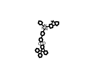 CC1(C)c2ccccc2-c2ccc(-c3nc(-c4ccccc4)nc(-c4ccc(-c5ccc6c(c5)Oc5cc7c(cc5O6)C(c5ccccc5)(c5ccccc5)c5ccccc5-7)cc4)n3)cc21